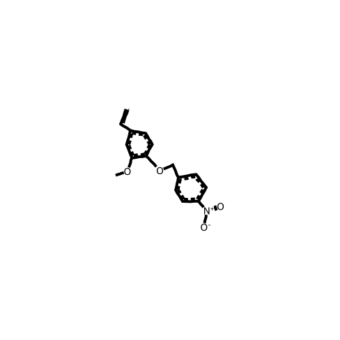 [CH]=Cc1ccc(OCc2ccc([N+](=O)[O-])cc2)c(OC)c1